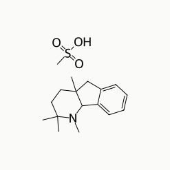 CN1C2c3ccccc3CC2(C)CCC1(C)C.CS(=O)(=O)O